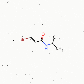 CC(C)NC(=O)C=CBr